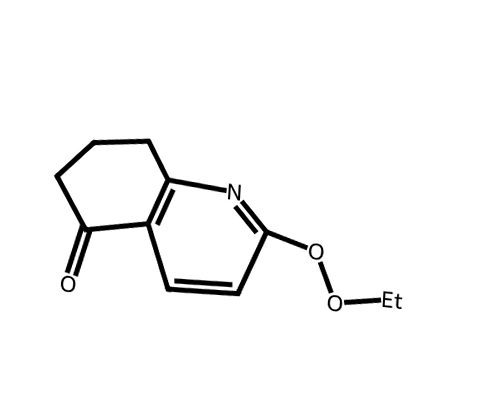 CCOOc1ccc2c(n1)CCCC2=O